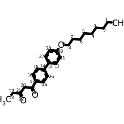 CCCCCCCCCOc1ccc(-c2ccc(C(=O)CC(=O)CC)cc2)cc1